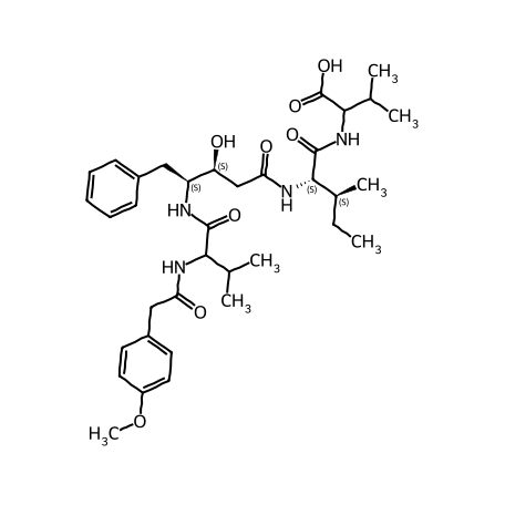 CC[C@H](C)[C@H](NC(=O)C[C@H](O)[C@H](Cc1ccccc1)NC(=O)C(NC(=O)Cc1ccc(OC)cc1)C(C)C)C(=O)NC(C(=O)O)C(C)C